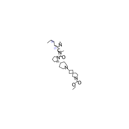 C=N/C(=C\C=C/C)CN(C)C(=O)N1CCC[C@H]1C1CCN(C2CC3(CCN(C(=O)OCC)C3)C2)CC1